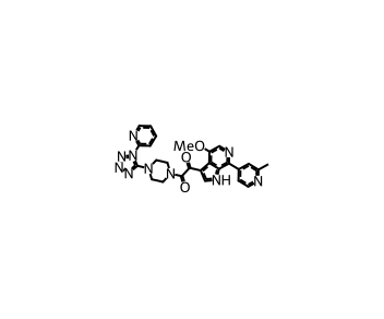 COc1cnc(-c2ccnc(C)c2)c2[nH]cc(C(=O)C(=O)N3CCN(c4nnnn4-c4ccccn4)CC3)c12